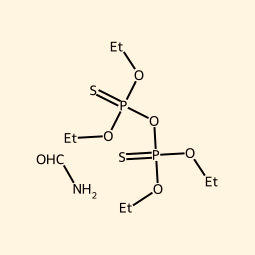 CCOP(=S)(OCC)OP(=S)(OCC)OCC.NC=O